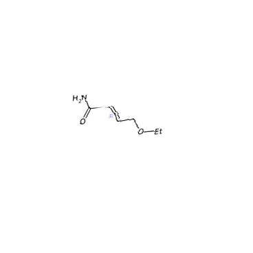 CCOC/C=C/C(N)=O